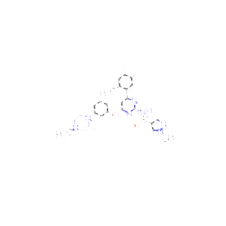 Cc1ccccc1-c1cc(Oc2cccc(N3CCN(C)CC3)c2)nc(N[S+]([O-])c2cnn(C)c2)n1